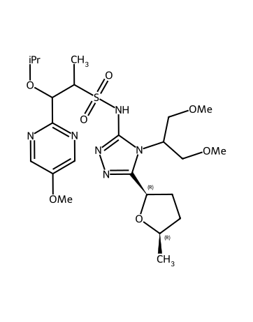 COCC(COC)n1c(NS(=O)(=O)C(C)C(OC(C)C)c2ncc(OC)cn2)nnc1[C@H]1CC[C@@H](C)O1